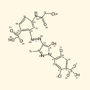 Cc1nn(-c2cc(Cl)c(S(=O)(=O)O)cc2Cl)c(O)c1/N=N/c1cc(NC(=O)CCl)ccc1S(=O)(=O)O